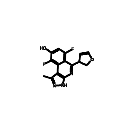 Cc1n[nH]c2nc(C3C=COC3)c3c(F)cc(O)c(F)c3c12